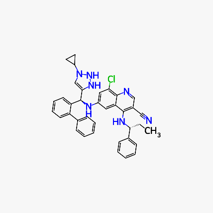 CC[C@@H](Nc1c(C#N)cnc2c(Cl)cc(N[C@H](C3=CN(C4CC4)NN3)c3ccccc3-c3ccccc3)cc12)c1ccccc1